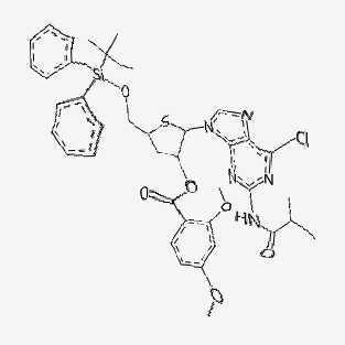 COc1ccc(C(=O)OC2CC(CO[Si](c3ccccc3)(c3ccccc3)C(C)(C)C)SC2n2cnc3c(Cl)nc(NC(=O)C(C)C)nc32)c(OC)c1